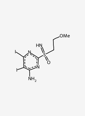 COCCS(=N)(=O)c1nc(N)c(I)c(I)n1